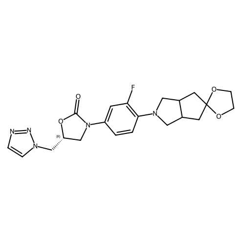 O=C1O[C@@H](Cn2ccnn2)CN1c1ccc(N2CC3CC4(CC3C2)OCCO4)c(F)c1